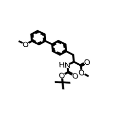 COC(=O)C(Cc1ccc(-c2cccc(OC)c2)cc1)NC(=O)OC(C)(C)C